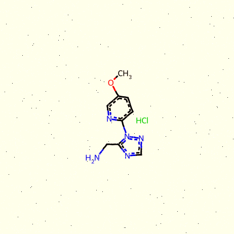 COc1ccc(-n2ncnc2CN)nc1.Cl